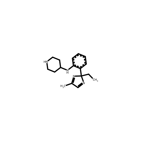 CCC1(c2ccccc2NC2CCNCC2)N=CC(C)=N1